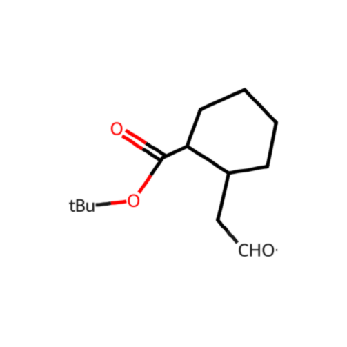 CC(C)(C)OC(=O)C1CCCCC1C[C]=O